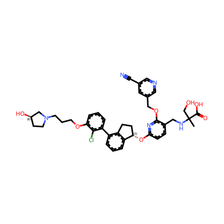 CC(CO)(NCc1ccc(O[C@H]2CCc3c(-c4cccc(OCCCN5CC[C@@H](O)C5)c4Cl)cccc32)nc1OCc1cncc(C#N)c1)C(=O)O